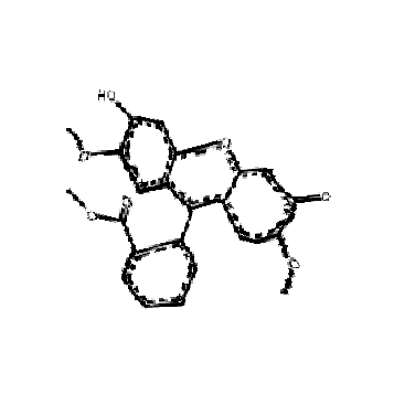 COC(=O)c1ccccc1-c1c2cc(OC)c(=O)cc-2oc2cc(O)c(OC)cc12